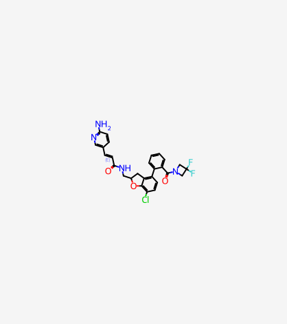 Nc1ccc(/C=C/C(=O)NCC2Cc3c(-c4ccccc4C(=O)N4CC(F)(F)C4)ccc(Cl)c3O2)cn1